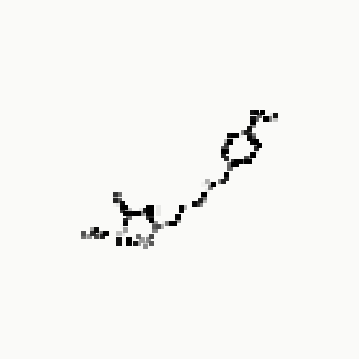 CCCCOC(=O)NC(CCCSCc1ccc(OC)cc1)C(=O)OCC